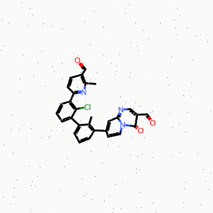 Cc1nc(-c2cccc(-c3cccc(-c4ccn5c(=O)c(C=O)cnc5c4)c3C)c2Cl)ccc1C=O